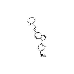 CNc1ccc(-n2cnc3cc(OCC4CCCCO4)ccc32)cc1